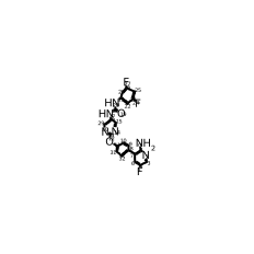 Nc1ncc(F)cc1-c1ccc(Oc2ncc(NC(=O)Nc3cc(F)cc(F)c3)cn2)cc1